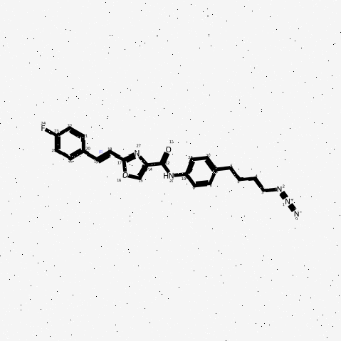 [N-]=[N+]=NCCCCc1ccc(NC(=O)c2coc(/C=C/c3ccc(F)cc3)n2)cc1